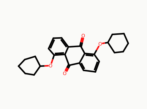 O=C1c2cccc(OC3CCCCC3)c2C(=O)c2cccc(OC3CCCCC3)c21